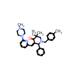 Cc1ccc(CN2CC(C)(C)C(=O)C(=Cc3cccc(N4CCN(C)CC4)n3)C2c2ccccc2)cc1